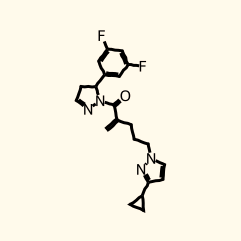 C=C(CCCn1ccc(C2CC2)n1)C(=O)N1N=CCC1c1cc(F)cc(F)c1